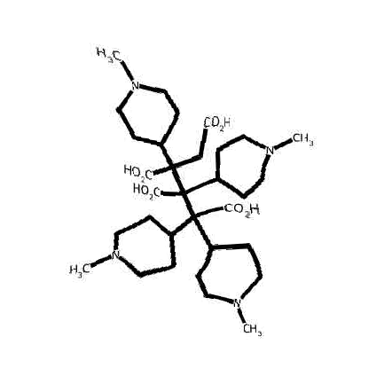 CN1CCC(C(CC(=O)O)(C(=O)O)C(C(=O)O)(C2CCN(C)CC2)C(C(=O)O)(C2CCN(C)CC2)C2CCN(C)CC2)CC1